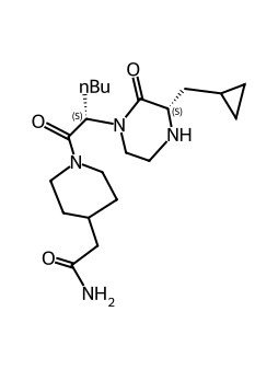 CCCC[C@@H](C(=O)N1CCC(CC(N)=O)CC1)N1CCN[C@@H](CC2CC2)C1=O